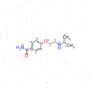 CC(C)NCCOc1ccc(C(N)=O)cc1